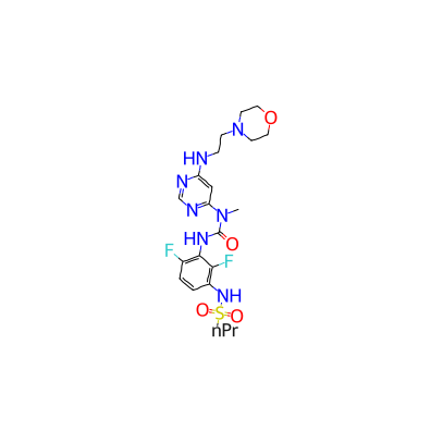 CCCS(=O)(=O)Nc1ccc(F)c(NC(=O)N(C)c2cc(NCCN3CCOCC3)ncn2)c1F